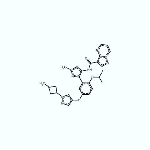 CN1CC(n2cc(Oc3ccc(OC(F)F)c(-c4nn(C)cc4NC(=O)c4cnn5cccnc45)c3)cn2)C1